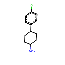 NC1CC[C](c2ccc(Cl)cc2)CC1